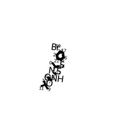 Cc1nc(NC(=O)OC(C)(C)C)sc1Sc1ccc(Br)cc1